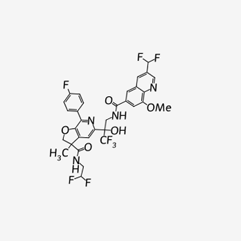 COc1cc(C(=O)NCC(O)(c2cc3c(c(-c4ccc(F)cc4)n2)OCC3(C)C(=O)NCC(F)F)C(F)(F)F)cc2cc(C(F)F)cnc12